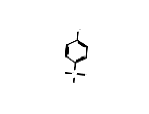 FS(F)(F)c1ccc(S)cc1